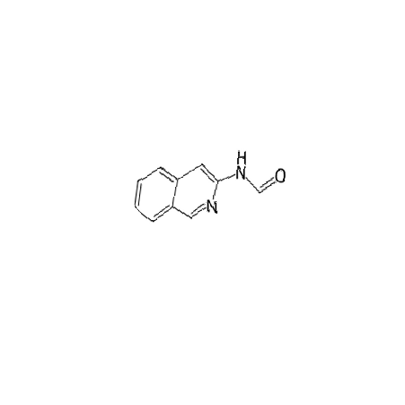 O=CNc1cc2ccccc2cn1